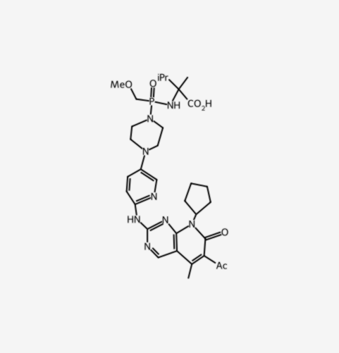 COCP(=O)(NC(C)(C(=O)O)C(C)C)N1CCN(c2ccc(Nc3ncc4c(C)c(C(C)=O)c(=O)n(C5CCCC5)c4n3)nc2)CC1